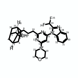 O[C@]12CC3C[C@H](C1)[C@@H](CCCc1nc(N4CCOCC4)cc(-n4c(C(F)F)nc5ccccc54)n1)[C@@H](C3)C2